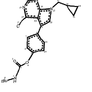 CC(C)(C)NC(=O)Oc1ccc(-c2cn(CC3CC3)c3ncnc(Cl)c23)cc1